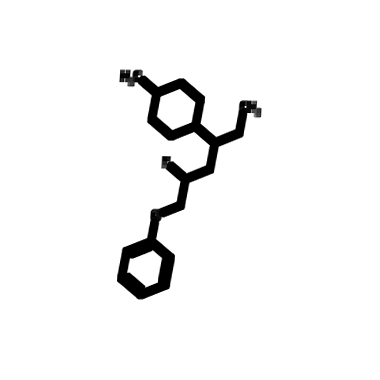 CCC(CC(F)COc1ccccc1)C1CCC(C)CC1